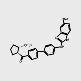 COc1ccc2[nH]c(Nc3ccc(-c4ccc(C(=O)[C@H]5CCC[C@@H]5C(=O)O)cc4)cc3)nc2c1